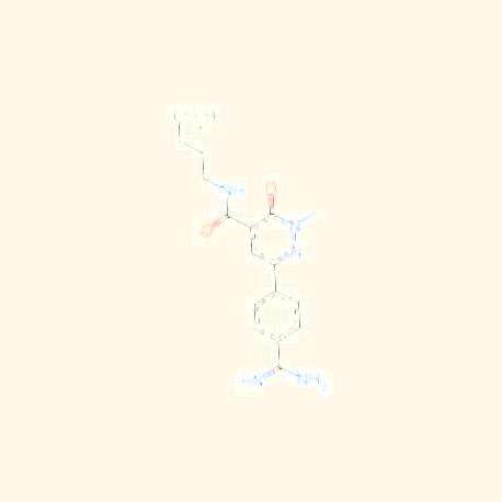 Cn1nc(-c2ccc(C(=N)N)cc2)cc(C(=O)NCCCC(=O)O)c1=O